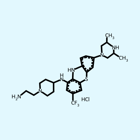 CC1CN(c2ccc3c(c2)Sc2cc(C(F)(F)F)cc(NC4CCN(CCN)CC4)c2N3)CC(C)N1.Cl